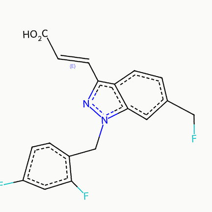 O=C(O)/C=C/c1nn(Cc2ccc(F)cc2F)c2cc(CF)ccc12